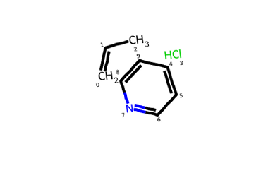 C=CC.Cl.c1ccncc1